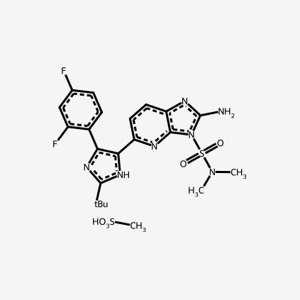 CN(C)S(=O)(=O)n1c(N)nc2ccc(-c3[nH]c(C(C)(C)C)nc3-c3ccc(F)cc3F)nc21.CS(=O)(=O)O